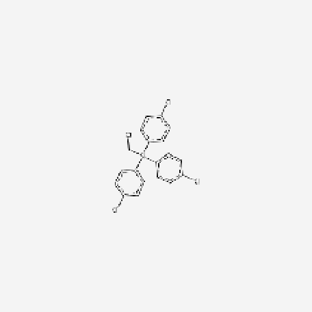 ClC[Si](c1ccc(Cl)cc1)(c1ccc(Cl)cc1)c1ccc(Cl)cc1